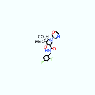 COc1c(C(=O)O)n(C2=COC=CN=C2)cc(C(=O)NCc2ccc(F)cc2F)c1=O